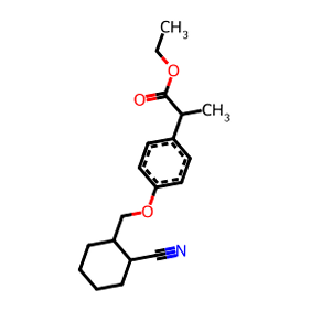 CCOC(=O)C(C)c1ccc(OCC2CCCCC2C#N)cc1